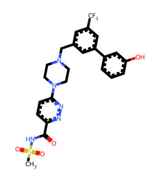 CS(=O)(=O)NC(=O)c1ccc(N2CCN(Cc3cc(-c4cccc(O)c4)cc(C(F)(F)F)c3)CC2)nn1